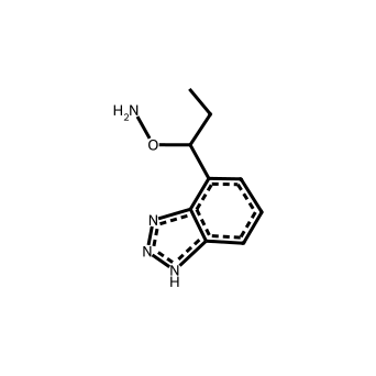 CCC(ON)c1cccc2[nH]nnc12